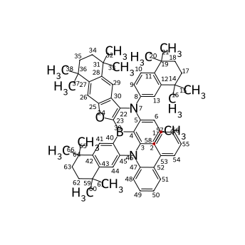 Cc1cc2c3c(c1)N(c1ccc4c(c1)C(C)(C)CCC4(C)C)c1c(oc4cc5c(cc14)C(C)(C)CCC5(C)C)B3c1cc3c(cc1N2c1ccccc1-c1ccccc1)C(C)(C)CCC3(C)C